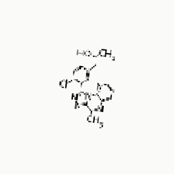 Cc1nc2cccnc2n2c(-c3cc(CC(C)O)ccc3Cl)nnc12